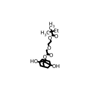 CCC(C)(C)C(=O)OCCOCC(=O)OC12CC3CC(O)(CC(O)(C3)C1)C2